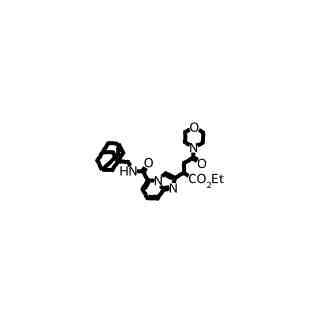 CCOC(=O)C(CC(=O)N1CCOCC1)c1cn2c(C(=O)NCC34CC5CC(CC(C5)C3)C4)cccc2n1